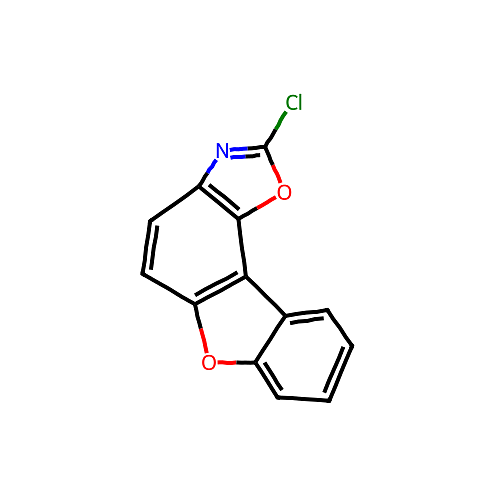 Clc1nc2ccc3oc4ccccc4c3c2o1